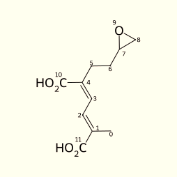 CC(=CC=C(CCC1CO1)C(=O)O)C(=O)O